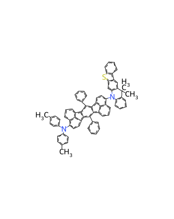 Cc1ccc(N(c2ccc(C)cc2)c2ccc3c4c(-c5ccccc5)c5c6cccc7c(N8c9ccccc9C(C)(C)c9cc%10c(cc98)sc8ccccc8%10)ccc(c5c(-c5ccccc5)c4c4cccc2c34)c76)cc1